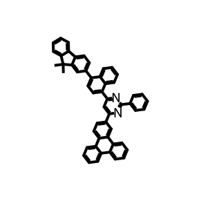 CC1(C)c2ccccc2-c2ccc(-c3ccc(-c4cc(-c5ccc6c7ccccc7c7ccccc7c6c5)nc(-c5ccccc5)n4)c4ccccc34)cc21